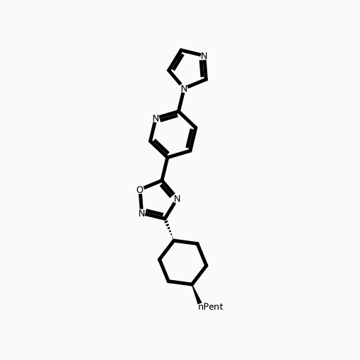 CCCCC[C@H]1CC[C@H](c2noc(-c3ccc(-n4ccnc4)nc3)n2)CC1